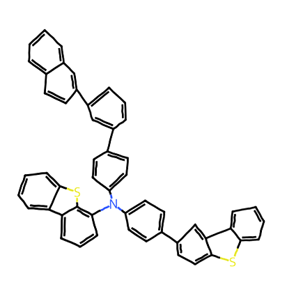 c1cc(-c2ccc(N(c3ccc(-c4ccc5sc6ccccc6c5c4)cc3)c3cccc4c3sc3ccccc34)cc2)cc(-c2ccc3ccccc3c2)c1